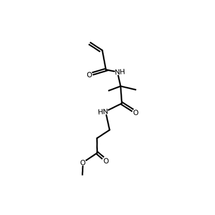 C=CC(=O)NC(C)(C)C(=O)NCCC(=O)OC